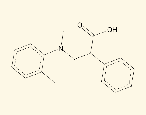 Cc1ccccc1N(C)CC(C(=O)O)c1ccccc1